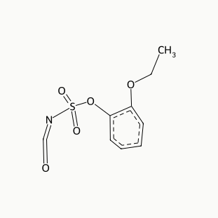 CCOc1ccccc1OS(=O)(=O)N=C=O